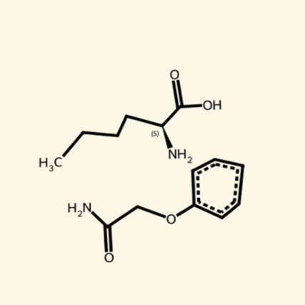 CCCC[C@H](N)C(=O)O.NC(=O)COc1ccccc1